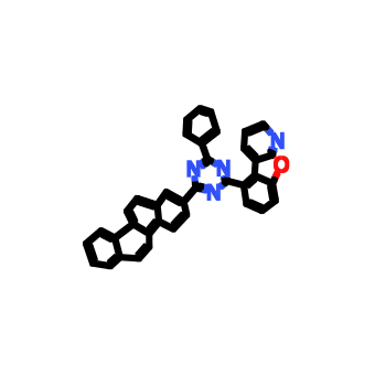 c1ccc(-c2nc(-c3ccc4c(ccc5c6ccccc6ccc45)c3)nc(-c3cccc4oc5ncccc5c34)n2)cc1